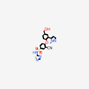 Cn1nccc1-c1cc(CO)ccc1Oc1ccc(S(=O)(=O)Nc2ncns2)cc1C#N